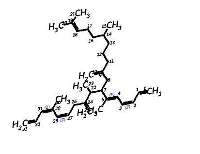 C=C/C=C\C=C(/C)C(CC(=C)CCCC(C)CCC=C(C)C)C(C)C(=C)C/C=C\C(C)=C/C=C